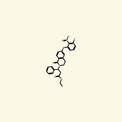 CCOC(=O)CC(c1ccccc1)N1CCc2cc(Oc3cccc(F)c3[N+](=O)[O-])ccc2C1=O